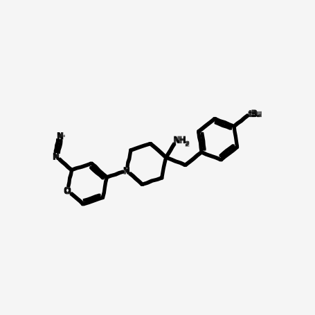 CC(C)(C)c1ccc(CC2(N)CCN(C3=CC(N=[N])OC=C3)CC2)cc1